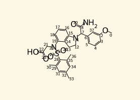 COc1cccc(C(C(N)=O)N2CCc3c2cccc3N(CC(=O)O)S(=O)(=O)c2c(C)cc(C)cc2C)c1